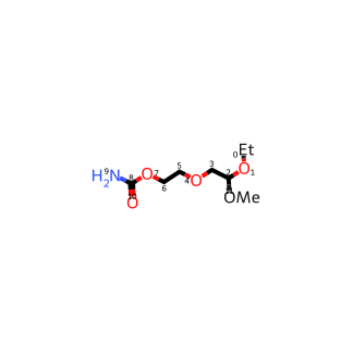 CCOC(COCCOC(N)=O)OC